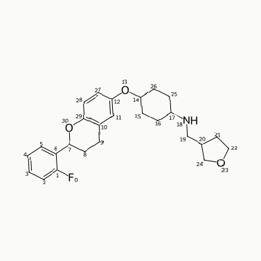 Fc1ccccc1C1CCc2cc(OC3CCC(NCC4CCOC4)CC3)ccc2O1